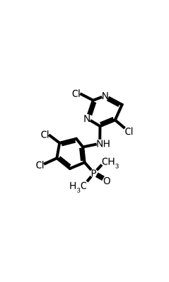 CP(C)(=O)c1cc(Cl)c(Cl)cc1Nc1nc(Cl)ncc1Cl